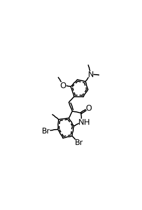 COc1cc(N(C)C)ccc1C=C1C(=O)Nc2c(Br)cc(Br)c(C)c21